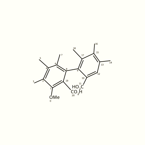 COc1c(C)c(C)c(C)c(-c2c(C(=O)O)cc(C)c(C)c2C)c1C(=O)O